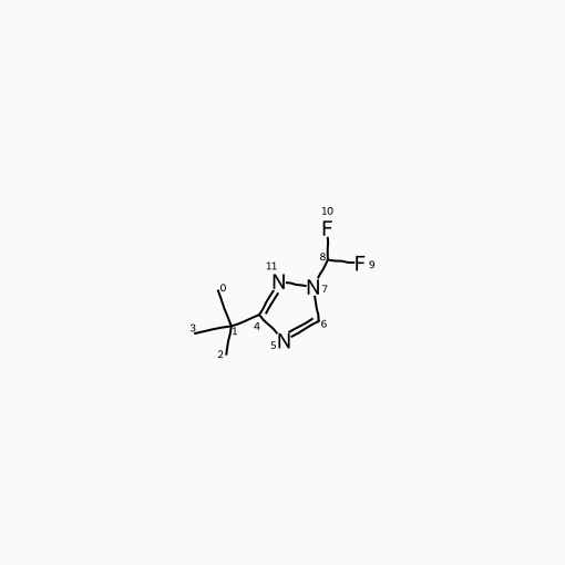 CC(C)(C)c1ncn(C(F)F)n1